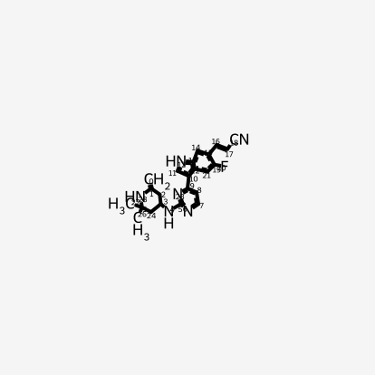 C=C1CC(Nc2nccc(-c3c[nH]c4cc(/C=C/C#N)c(F)cc34)n2)CC(C)(C)N1